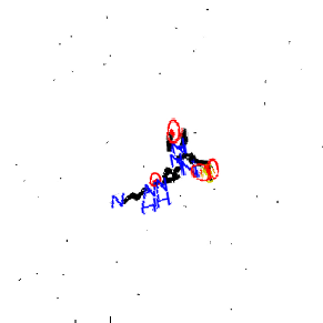 CN(C)CCCCNC(=O)Nc1ccc(-c2nc(CS(C)(=O)=O)cc(N3CCOCC3)n2)cc1